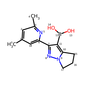 Cc1cc(C)nc(-c2nn3c(c2B(O)O)CCC3)c1